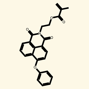 C=C(C)C(=O)OCCN1C(=O)c2cccc3c(Oc4ccccc4)ccc(c23)C1=O